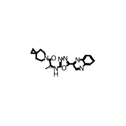 C[C@H](Nc1nnc(-c2cnc3ccccc3n2)o1)C(=O)N1CCC2(CC1)CC2